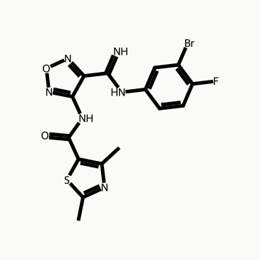 Cc1nc(C)c(C(=O)Nc2nonc2C(=N)Nc2ccc(F)c(Br)c2)s1